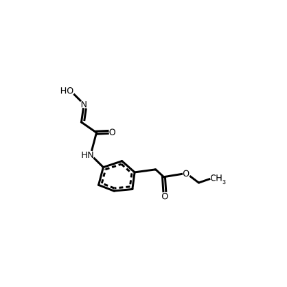 CCOC(=O)Cc1cccc(NC(=O)/C=N/O)c1